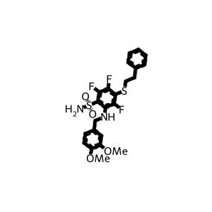 COc1ccc(CNc2c(F)c(SCCc3ccccc3)c(F)c(F)c2S(N)(=O)=O)cc1OC